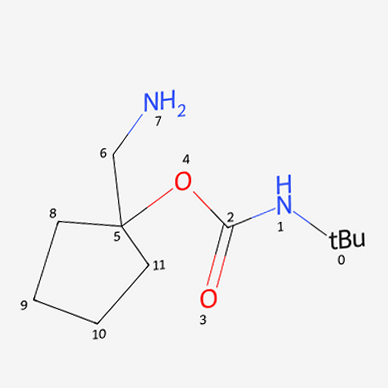 CC(C)(C)NC(=O)OC1(CN)CCCC1